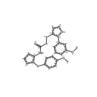 COc1ccc(Cn2nccc2NC(=O)CSc2nnnn2-c2cccc(OC)c2)cc1